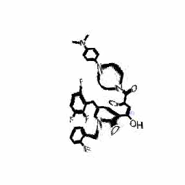 CN(C)c1ccc(N2CCN(C(=O)C(=O)/C=C(/O)c3cc(Cc4c(F)ccc(F)c4F)cn(Cc4ccccc4F)c3=O)CC2)cc1